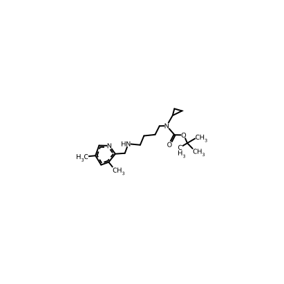 Cc1cnc(CNCCCCN(C(=O)OC(C)(C)C)C2CC2)c(C)c1